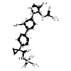 CS(=O)(=O)NC(=O)C1(c2ccc(-c3ccc(-n4ncc(F)c4OC(N)=O)cc3F)cc2)CC1